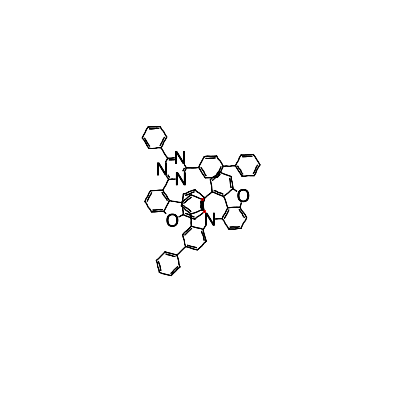 c1ccc(-c2ccc(-c3nc(-c4ccccc4)nc(-c4cccc5oc6ccc(-c7cccc8oc9cccc(-n%10c%11ccccc%11c%11cc(-c%12ccccc%12)ccc%11%10)c9c78)cc6c45)n3)cc2)cc1